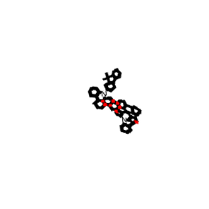 CC1(C)c2ccccc2-c2ccc(N(c3cccc(-c4ccc5c(c4)C4(c6ccccc6-5)c5ccccc5-n5c6ccccc6c6cccc4c65)c3)c3ccccc3-c3cccc(-c4ccccc4)c3)cc21